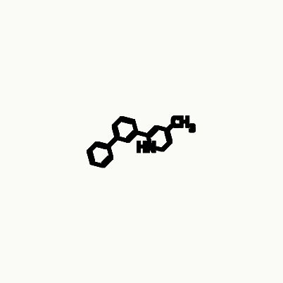 CC1=CCNC(c2cccc(-c3ccccc3)c2)=C1